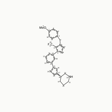 COc1ccc(Cn2nnc(-c3ccnc(-c4cn([C@@H]5CCCNC5)cn4)c3)c2C(F)(F)F)cc1